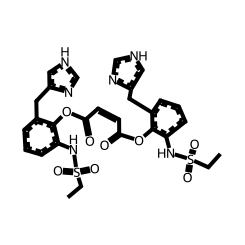 CCS(=O)(=O)Nc1cccc(Cc2c[nH]cn2)c1OC(=O)/C=C\C(=O)Oc1c(Cc2c[nH]cn2)cccc1NS(=O)(=O)CC